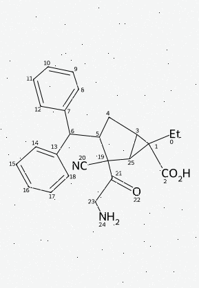 CCC1(C(=O)O)C2CC(C(c3ccccc3)c3ccccc3)C(C#N)(C(=O)CN)C21